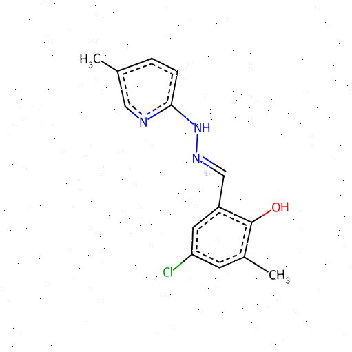 Cc1ccc(N/N=C/c2cc(Cl)cc(C)c2O)nc1